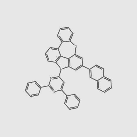 c1ccc(-c2nc(-c3ccccc3)nc(-n3c4cc(-c5ccc6ccccc6c5)cc5oc6ccccc6c6cccc3c6c54)n2)cc1